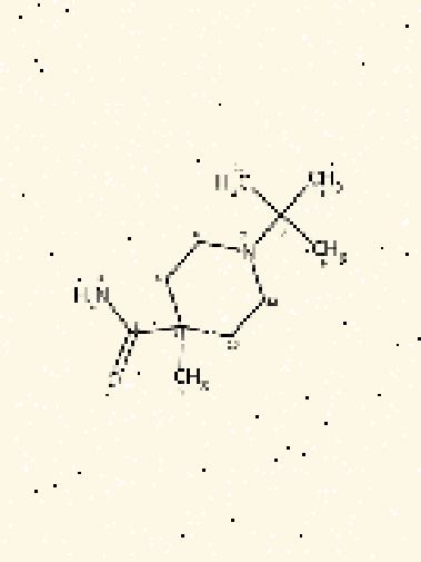 CC1(C(N)=O)CCN(C(C)(C)C)CC1